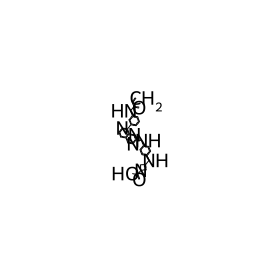 C=CC(=O)Nc1cccc(-c2nccc3cnc(Nc4ccc(NC5CN(C(=O)O)C5)cc4)nc23)c1